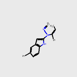 C=NN(/C(=C\C)C(C)C)c1cc2cc(C(C)C)ccc2[nH]1